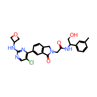 Cc1cccc(C(CO)NC(=O)CN2Cc3ccc(-c4nc(NC5COC5)ncc4Cl)cc3C2=O)c1